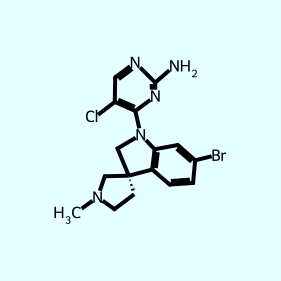 CN1CC[C@]2(C1)CN(c1nc(N)ncc1Cl)c1cc(Br)ccc12